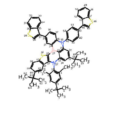 Cc1cc(C(C)(C)C)cc(C)c1N1c2cc(C(C)(C)C)cc3c2B(c2cc(-c4csc5ccccc45)ccc2N3c2ccc(-c3csc4ccccc34)cc2)c2sc3ccc(C(C)(C)C)cc3c21